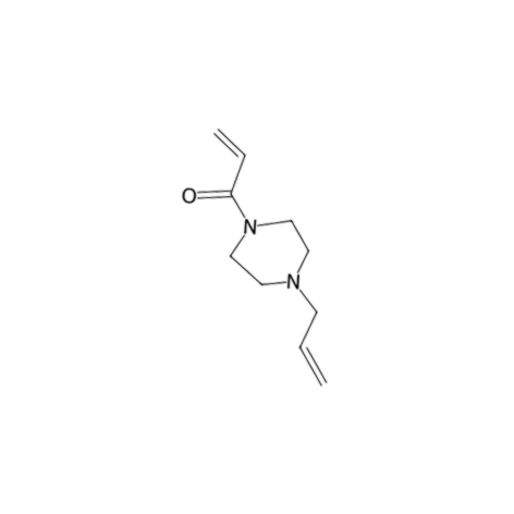 C=CCN1CCN(C(=O)C=C)CC1